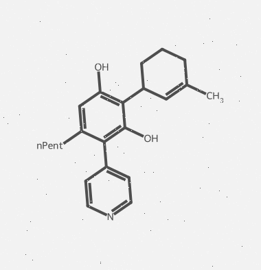 CCCCCc1cc(O)c(C2C=C(C)CCC2)c(O)c1-c1ccncc1